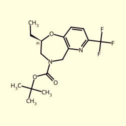 CC[C@@H]1CN(C(=O)OC(C)(C)C)Cc2nc(C(F)(F)F)ccc2O1